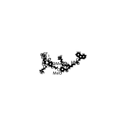 COc1cc2c(cc1OCCCOc1cc3c(cc1OC)C(=O)N1C=C(OS(=O)(=O)C(F)(F)F)C[C@H]1C(=O)N3COCC[Si](C)(C)C)N(COCC[Si](C)(C)C)C(=O)[C@@H]1CC(/C=C/CNC(=O)OCC3c4ccccc4-c4ccccc43)=CN1C2=O